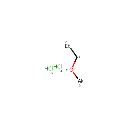 CCC[O][Al].Cl.Cl